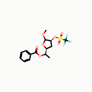 COC1O[C@H](C(C)OC(=O)c2ccccc2)C[C@@H]1OS(=O)(=O)C(F)(F)F